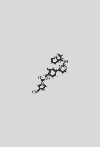 Cc1cc(-c2ccnc(Nc3cnn4c3CCC4)n2)ccc1CNC(=O)N1CCC(C(C)(C)C)C1